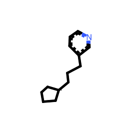 c1cncc(CCC[C]2CCCC2)c1